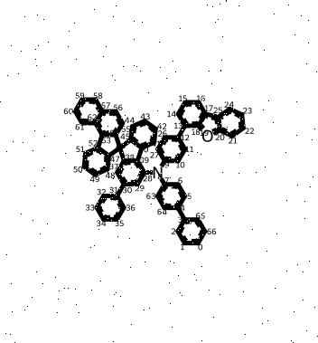 c1ccc(-c2ccc(N(c3ccc(-c4cccc5c4oc4ccccc45)cc3)c3cc(-c4ccccc4)cc4c3-c3ccccc3C43c4ccccc4-c4c3ccc3ccccc43)cc2)cc1